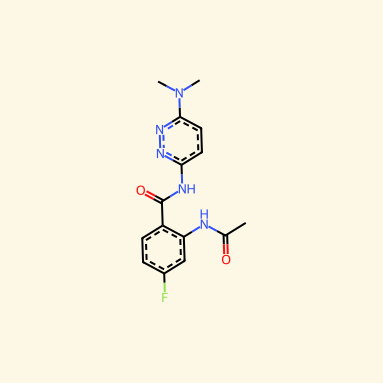 CC(=O)Nc1cc(F)ccc1C(=O)Nc1ccc(N(C)C)nn1